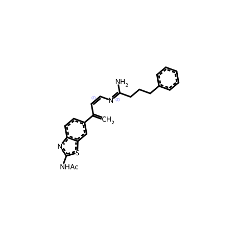 C=C(/C=C\N=C(/N)CCCc1ccccc1)c1ccc2nc(NC(C)=O)sc2c1